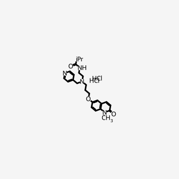 CC(C)C(=O)NCCN(CCCOc1ccc2c(ccc(=O)n2C)c1)Cc1ccncc1.Cl.Cl